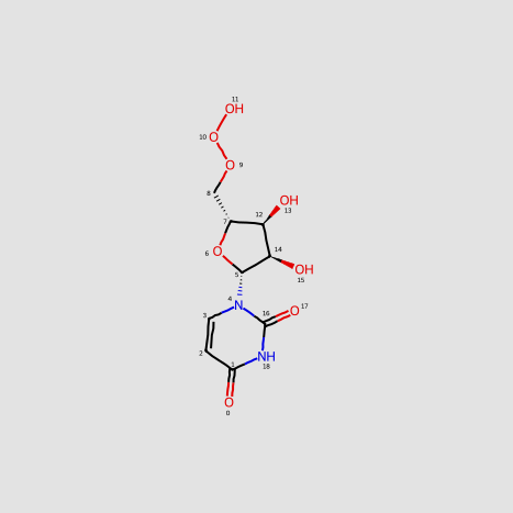 O=c1ccn([C@@H]2O[C@H](COOO)[C@@H](O)[C@H]2O)c(=O)[nH]1